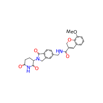 COc1cccc2c1OCC(C(=O)NCc1ccc3c(c1)CN(C1CCC(=O)NC1=O)C3=O)=C2